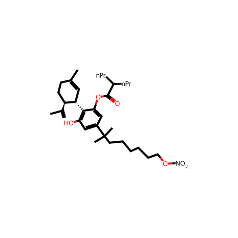 C=C(C)[C@H]1CCC(C)=C[C@@H]1c1c(O)cc(C(C)(C)CCCCCCO[N+](=O)[O-])cc1OC(=O)C(CCC)CCC